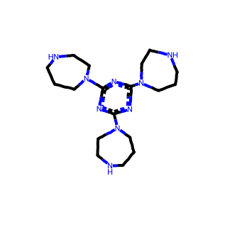 C1CNCCN(c2nc(N3CCCNCC3)nc(N3CCCNCC3)n2)C1